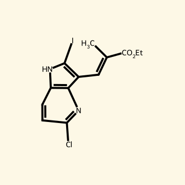 CCOC(=O)/C(C)=C/c1c(I)[nH]c2ccc(Cl)nc12